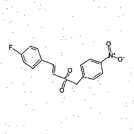 O=[N+]([O-])c1ccc(CS(=O)(=O)C=Cc2ccc(F)cc2)cc1